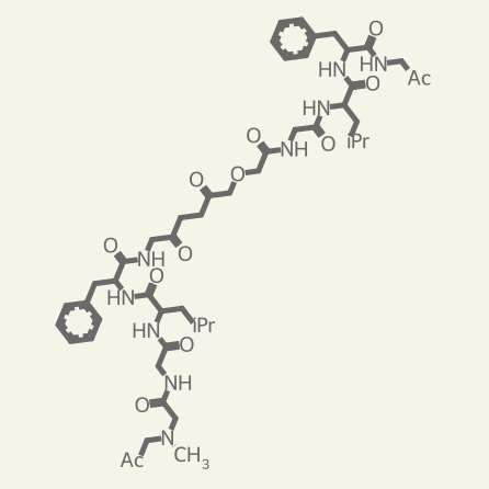 CC(=O)CNC(=O)C(Cc1ccccc1)NC(=O)C(CC(C)C)NC(=O)CNC(=O)COCC(=O)CCC(=O)CNC(=O)C(Cc1ccccc1)NC(=O)C(CC(C)C)NC(=O)CNC(=O)CN(C)CC(C)=O